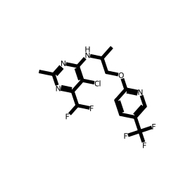 Cc1nc(NC(C)COc2ccc(C(F)(F)F)cn2)c(Cl)c(C(F)F)n1